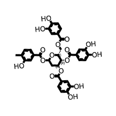 Cc1ccc(C(=O)OC2C[C@@H](OC(=O)c3ccc(O)c(O)c3)[C@@H](OC(=O)c3ccc(O)c(O)c3)[C@@H](COC(=O)c3ccc(O)c(O)c3)O2)cc1O